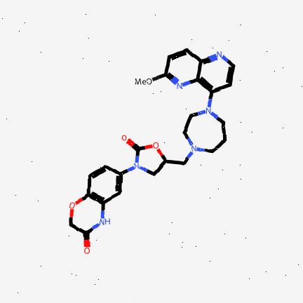 COc1ccc2nccc(N3CCCN(CC4CN(c5ccc6c(c5)NC(=O)CO6)C(=O)O4)CC3)c2n1